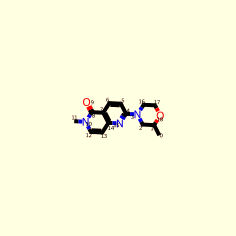 CC1CN(c2ccc3c(=O)n(C)ccc3n2)CCO1